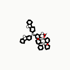 c1ccc([Si]2(c3ccccc3)c3ccccc3[Si]3(c4ccccc4Oc4cc(N(c5ccc6c(c5)oc5ccccc56)c5ccc6c(c5)oc5ccccc56)ccc43)c3ccccc32)cc1